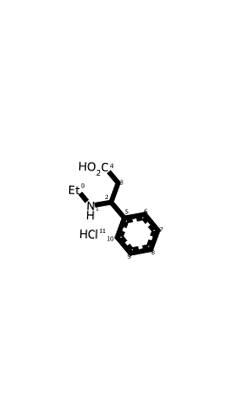 CCNC(CC(=O)O)c1ccccc1.Cl